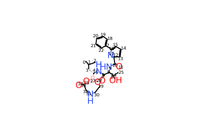 CC(C)C[C@H](NC(=O)C(NC(=O)c1cccc(-c2ccccc2)n1)[C@@H](C)O)B1OCCNCC(=O)O1